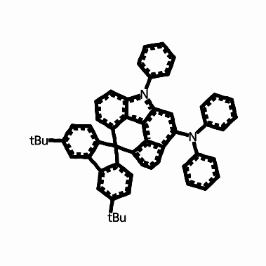 CC(C)(C)c1ccc2c(c1)-c1cc(C(C)(C)C)ccc1C21c2cccc3c(N(c4ccccc4)c4ccccc4)cc4c(c23)c2c1cccc2n4-c1ccccc1